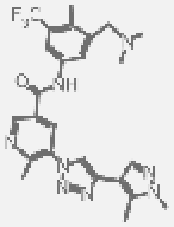 Cc1ncc(C(=O)Nc2cc(CN(C)C)c(C)c(C(F)(F)F)c2)cc1-n1cc(-c2cnn(C)c2C)nn1